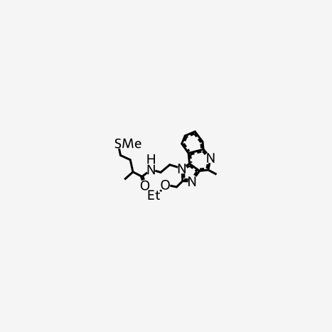 CCOCc1nc2c(C)nc3ccccc3c2n1CCNC(=O)C(C)CCSC